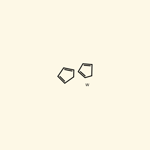 C1=CCC=C1.C1=CCC=C1.[W]